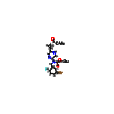 COC(=O)[C@H]1C[C@@H]1c1cnc(N(Cc2cc(Br)ccc2F)C(=O)OC(C)(C)C)cn1